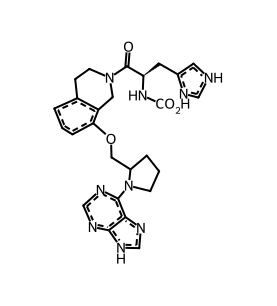 O=C(O)N[C@H](Cc1c[nH]cn1)C(=O)N1CCc2cccc(OCC3CCCN3c3ncnc4[nH]cnc34)c2C1